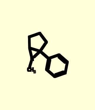 CN1C2CCCC21c1ccccc1